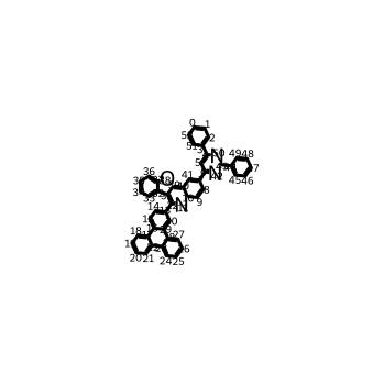 c1ccc(-c2cc(-c3ccc4nc(-c5ccc6c7ccccc7c7ccccc7c6c5)c5c6ccccc6oc5c4c3)nc(-c3ccccc3)n2)cc1